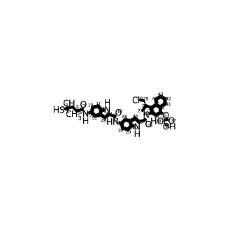 CC(C)(S)CCC(=O)Nc1ccc2[nH]c(C(=O)Nc3ccc4[nH]c(C(=O)N5C[C@@H](CCl)c6c5cc(OP(=O)(O)O)c5ccccc65)cc4c3)cc2c1